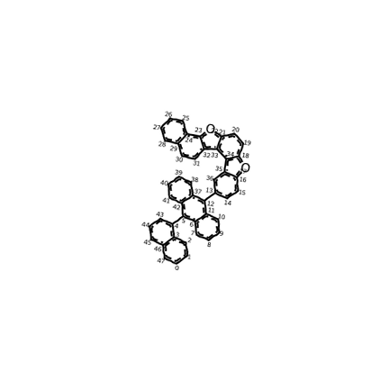 c1ccc2c(-c3c4ccccc4c(-c4ccc5oc6ccc7oc8c9ccccc9ccc8c7c6c5c4)c4ccccc34)cccc2c1